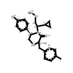 Cc1ccc(C[C@@]2(C)OC[C@@H](c3ccc(Cl)cc3)N(C(CSC(C)(C)C)C3CC3)C2=O)nc1